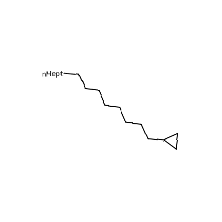 CCCCCCCCCCCCCCC[C]1CC1